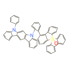 O=S12(c3ccccc3-c3ccccc31)c1ccccc1-c1c(-c3ccccc3-n3c4ccccc4c4cc5c6ccccc6n(-c6ccccc6)c5cc43)cccc12